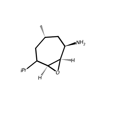 CC(C)C1C[C@H](C)C[C@@H](N)[C@H]2O[C@@H]12